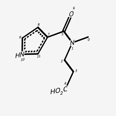 CN(CCC(=O)O)C(=O)c1cc[nH]c1